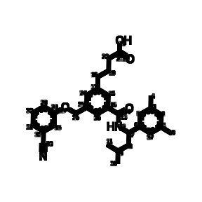 Cc1cc(C)cc(C(CC(C)C)NC(=O)c2cc(CCCC(=O)O)cc(COc3cccc(C#N)c3)c2)c1